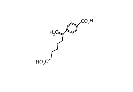 C=C(CCCCCC(=O)O)c1ccc(C(=O)O)cc1